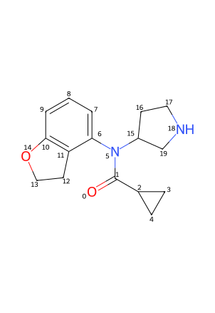 O=C(C1CC1)N(c1cccc2c1CCO2)C1CCNC1